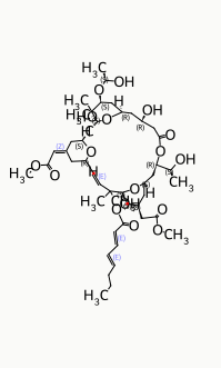 CCC/C=C/C=C/C(=O)O[C@H]1[C@H](CC(=O)OC)C[C@H]2C[C@H]([C@H](C)O)OC(=O)C[C@H](O)C[C@@H]3C[C@H](O[C@@H](C)O)C(C)(C)[C@](O)(C[C@@H]4C/C(=C/C(=O)OC)C[C@H](/C=C/C(C)(C)[C@]1(O)O2)O4)O3